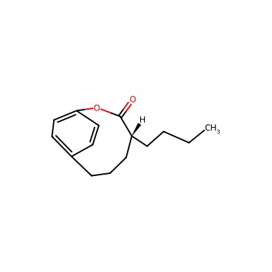 CCCC[C@@H]1CCCc2ccc(cc2)OC1=O